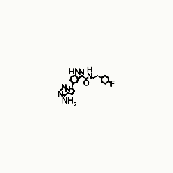 Nc1ncnn2c(-c3ccc4[nH]nc(C(=O)NCCc5ccc(F)cc5)c4c3)ccc12